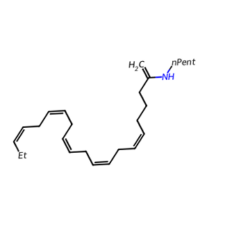 C=C(CCC/C=C\C/C=C\C/C=C\C/C=C\C/C=C\CC)NCCCCC